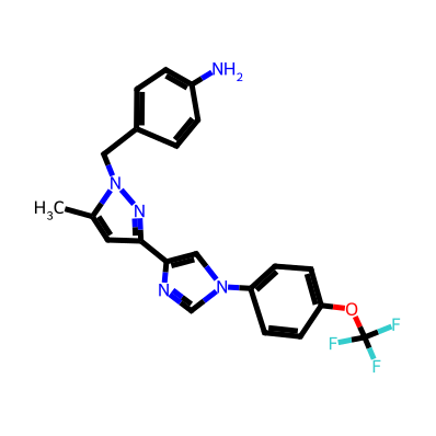 Cc1cc(-c2cn(-c3ccc(OC(F)(F)F)cc3)cn2)nn1Cc1ccc(N)cc1